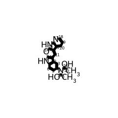 CC(O)N(c1ccc2[nH]cc(C=C3C(=O)Nc4ncccc43)c2c1)C(C)O